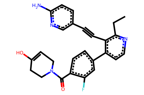 CCc1nccc(-c2ccc(C(=O)N3CC=C(O)CC3)c(F)c2)c1C#Cc1ccc(N)nc1